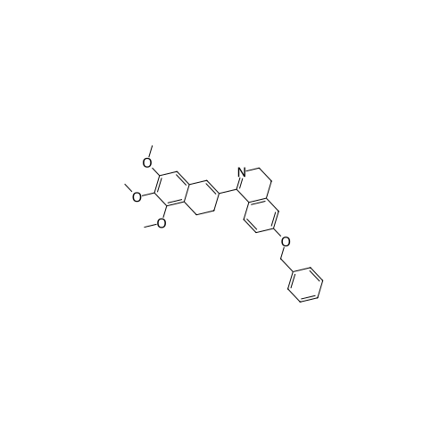 COc1cc2c(c(OC)c1OC)CCC(C1=NCCc3cc(OCc4ccccc4)ccc31)=C2